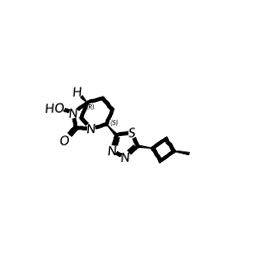 C[C@H]1C[C@@H](c2nnc([C@@H]3CC[C@@H]4CN3C(=O)N4O)s2)C1